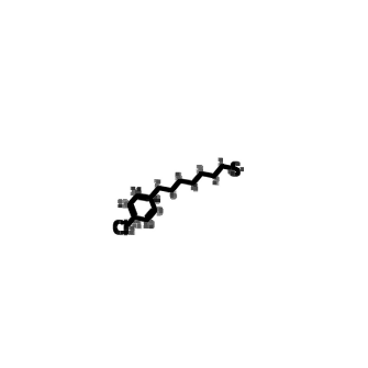 [S]CCCCCCCc1ccc(Cl)cc1